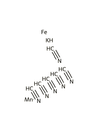 C#N.C#N.C#N.C#N.C#N.C#N.[Fe].[KH].[Mn]